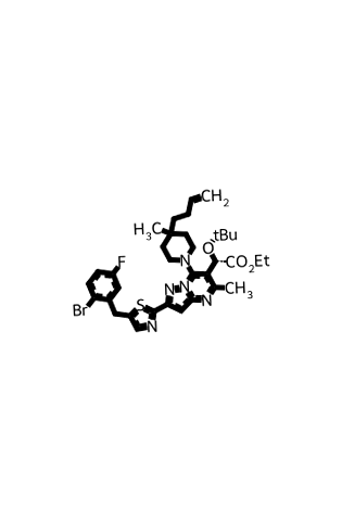 C=CCCC1(C)CCN(c2c([C@H](OC(C)(C)C)C(=O)OCC)c(C)nc3cc(-c4ncc(Cc5cc(F)ccc5Br)s4)nn23)CC1